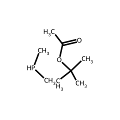 CC(=O)OC(C)(C)C.CPC